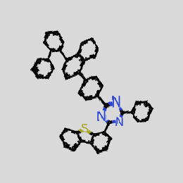 c1ccc(-c2nc(-c3ccc(-c4ccc(-c5ccccc5-c5ccccc5)c5ccccc45)cc3)nc(-c3cccc4c3sc3ccccc34)n2)cc1